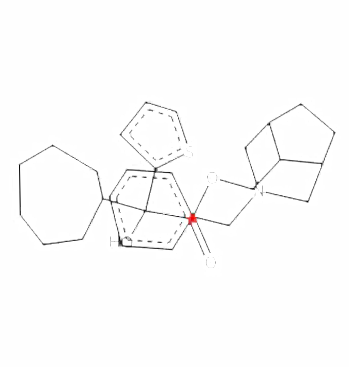 O=C(OCC1C2CCC1CN(Cc1ccccc1)C2)C(O)(c1cccs1)C1CCCCCC1